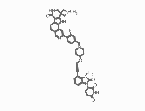 CN1CC2(CNC(=O)c3c2[nH]c2c3CCc3cnc(-c4ccc(CN5CCC(OCC#Cc6cccc7c6n(C)c(=O)n7C6CCC(=O)NC6=O)CC5)cc4F)cc3-2)C1